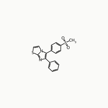 CS(=O)(=O)c1ccc(-c2c(-c3ccccc3)nc3sccn23)cc1